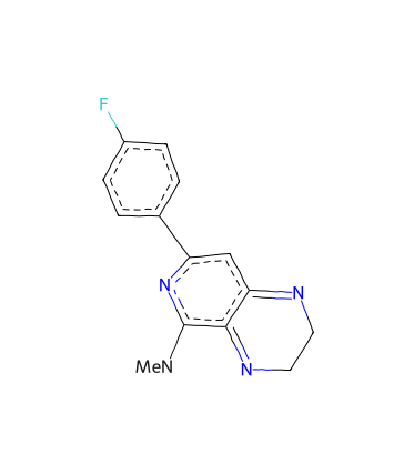 CNc1nc(-c2ccc(F)cc2)cc2c1=NCCN=2